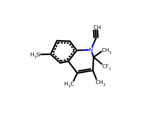 C#CN1c2ccc([SiH3])cc2C(C)=C(C)C1(C)C(F)(F)F